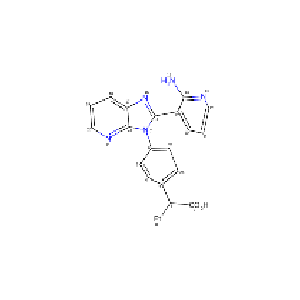 CCC(C(=O)O)c1ccc(-n2c(-c3cccnc3N)nc3cccnc32)cc1